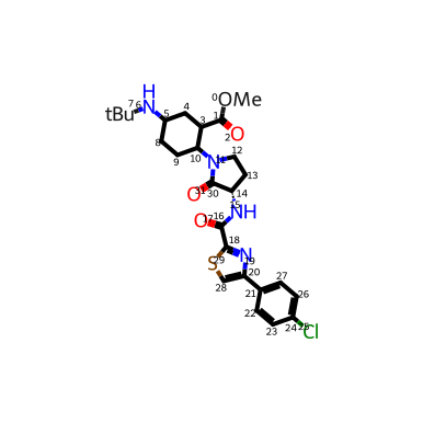 COC(=O)C1CC(NC(C)(C)C)CCC1N1CC[C@H](NC(=O)c2nc(-c3ccc(Cl)cc3)cs2)C1=O